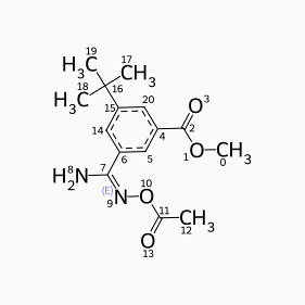 COC(=O)c1cc(/C(N)=N\OC(C)=O)cc(C(C)(C)C)c1